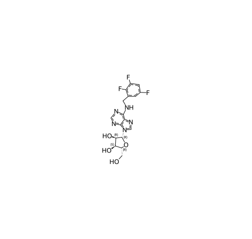 OC[C@H]1O[C@@H](n2cnc3c(NCc4cc(F)cc(F)c4F)ncnc32)[C@H](O)[C@@H]1O